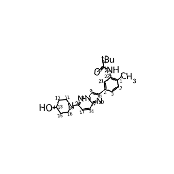 Cc1ccc(-c2cn3nc(N4CCC(O)CC4)ccc3n2)cc1NC(=O)C(C)(C)C